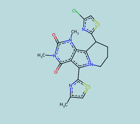 Cc1csc(-c2c3c(=O)n(C)c(=O)n(C)c3c3n2CCCC3c2nc(Cl)cs2)n1